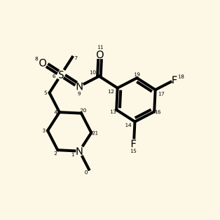 CN1CCC(CS(C)(=O)=NC(=O)c2cc(F)cc(F)c2)CC1